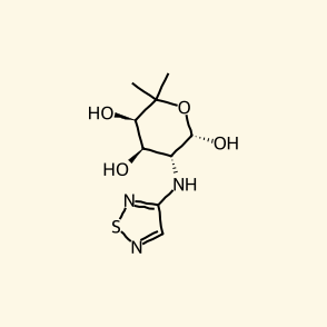 CC1(C)O[C@H](O)[C@H](Nc2cnsn2)[C@@H](O)[C@H]1O